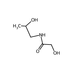 CC(O)CNC(=O)CO